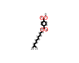 COC(=O)C1CCC(C(=O)OCCCCCCCCC(C)C)CC1